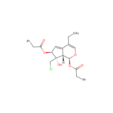 CC(=O)OCC1=CO[C@@H](OC(=O)CC(C)C)[C@H]2C1=C[C@H](OC(=O)CC(C)C)[C@]2(O)CCl